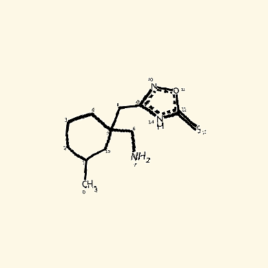 CC1CCCC(CN)(Cc2noc(=S)[nH]2)C1